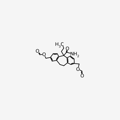 CCCC1(C(N)=O)c2ccc(COC=O)cc2CCc2cc(COC=O)ccc21